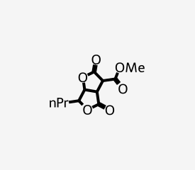 CCCC1OC(=O)C2C(C(=O)OC)C(=O)OC12